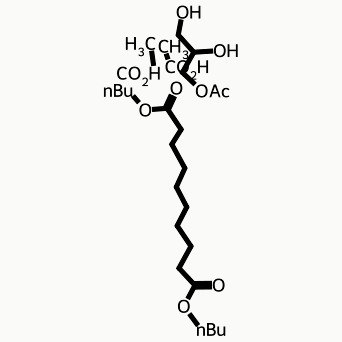 CC(=O)O.CC(=O)O.CC(=O)OCC(O)CO.CCCCOC(=O)CCCCCCCCC(=O)OCCCC